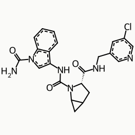 NC(=O)n1cc(NC(=O)N2C3CC3C[C@H]2C(=O)NCc2cncc(Cl)c2)c2ccccc21